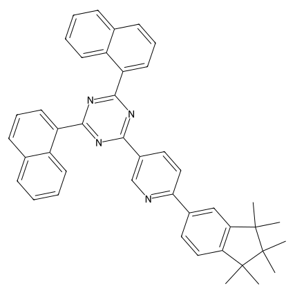 CC1(C)c2ccc(-c3ccc(-c4nc(-c5cccc6ccccc56)nc(-c5cccc6ccccc56)n4)cn3)cc2C(C)(C)C1(C)C